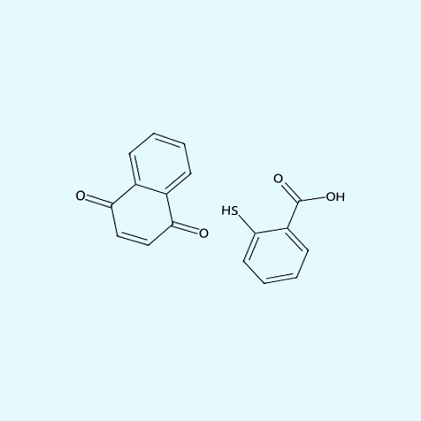 O=C(O)c1ccccc1S.O=C1C=CC(=O)c2ccccc21